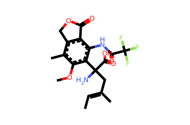 CC=C(C)CC(N)(C(=O)O)c1c(NC(=O)C(F)(F)F)c2c(c(C)c1OC)COC2=O